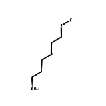 CCCCCCCCCCSF